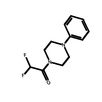 O=C(C(F)F)N1CCN(c2cc[c]cc2)CC1